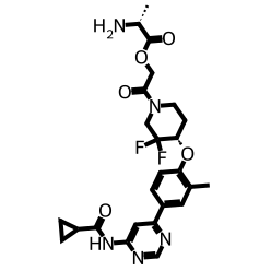 Cc1cc(-c2cc(NC(=O)C3CC3)ncn2)ccc1O[C@H]1CCN(C(=O)COC(=O)[C@@H](C)N)CC1(F)F